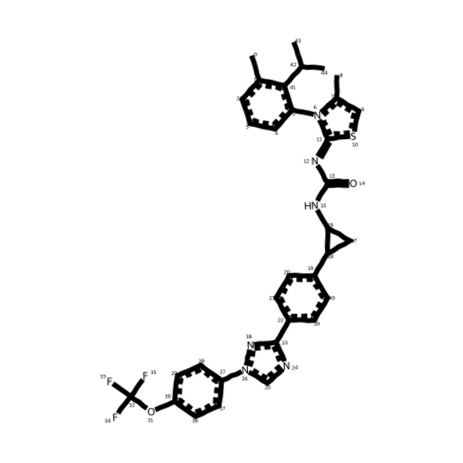 Cc1cccc(-n2c(C)cs/c2=N\C(=O)NC2CC2c2ccc(-c3ncn(-c4ccc(OC(F)(F)F)cc4)n3)cc2)c1C(C)C